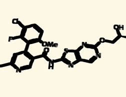 COc1ccc(Cl)c(F)c1-c1cc(C)ncc1C(=O)Nc1nc2cnc(OC[C@H](C)O)nc2s1